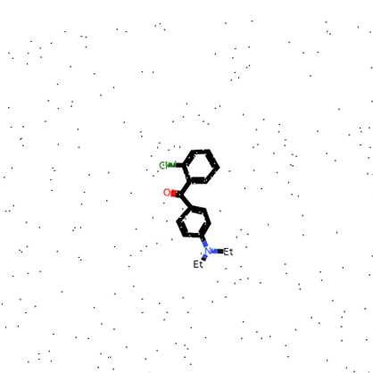 CCN(CC)c1ccc(C(=O)c2ccccc2Cl)cc1